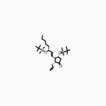 C=CC[C@H]1C(=O)C[C@@H](O[Si](C)(C)C(C)(C)C)[C@@H]1/C=C/[C@H](CCCCC)O[Si](C)(C)C(C)(C)C